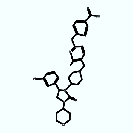 Cc1nc(Sc2ccc(C(=O)O)cc2)ccc1CN1CCC(N2C(=O)N(C3CCOCC3)CC2c2cccc(Cl)c2)CC1